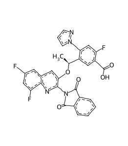 C[C@H](Oc1cc2cc(F)cc(F)c2nc1N1C(=O)c2ccccc2C1=O)c1cc(C(=O)O)c(F)cc1-n1cccn1